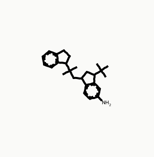 CC(C)(C)C1CC(CC(C)(C)C2CCc3ccccc32)c2ccc(N)cc21